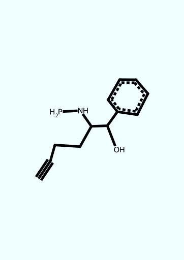 C#CCCC(NP)C(O)c1ccccc1